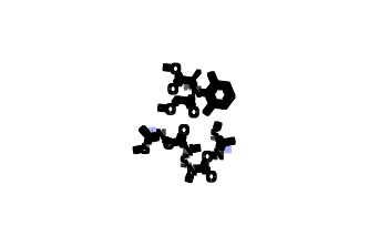 COCC(=O)N(c1c(C)cccc1C)[C@H](C)C(=O)OC.CS/C(C)=N\OC(=O)N(C)SN(C)C(=O)O/N=C(/C)SC